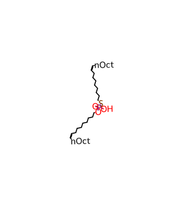 CCCCCCCC/C=C\CCCCCCCCOP(=O)(O)SCCCCCCCC/C=C\CCCCCCCC